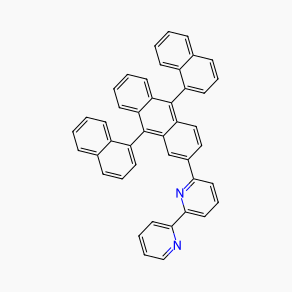 c1ccc(-c2cccc(-c3ccc4c(-c5cccc6ccccc56)c5ccccc5c(-c5cccc6ccccc56)c4c3)n2)nc1